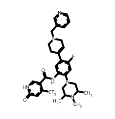 CC1CN(c2cc(F)c(C3=CCN(Cc4cccnc4)CC3)cc2NC(=O)c2c[nH]c(=O)cc2C(F)(F)F)CC(C)N1C